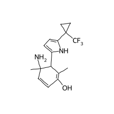 CC1=C(O)C=CC(C)(N)C1c1ccc(C2(C(F)(F)F)CC2)[nH]1